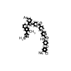 CC(=O)N1CCc2c(c(N3CCCc4cc(-c5cnn(C)c5)c(C)cc43)nn2C2CCN(C(=O)C3CCN(c4ccc(C(=O)NC5CCC(Oc6ccc(C#N)c(Cl)c6)CC5)nn4)CC3)CC2)C1